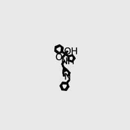 O=C(NCC1C2CN(Cc3ccccc3)CC12)C(O)(c1ccccc1)C1CCCC1